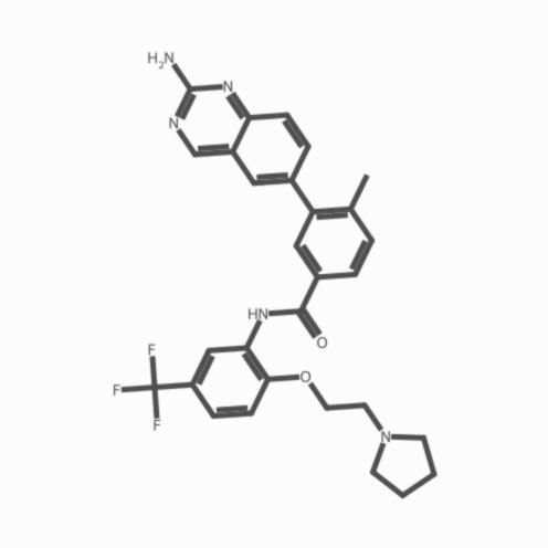 Cc1ccc(C(=O)Nc2cc(C(F)(F)F)ccc2OCCN2CCCC2)cc1-c1ccc2nc(N)ncc2c1